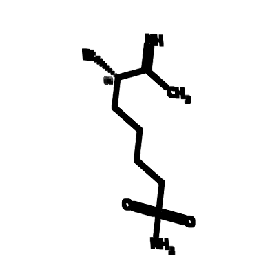 CC[C@@H](CCCCS(N)(=O)=O)C(C)=N